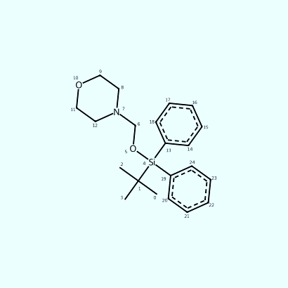 CC(C)(C)[Si](OCN1CCOCC1)(c1ccccc1)c1ccccc1